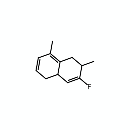 CC1=C2CC(C)C(F)=CC2CC=C1